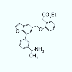 CCOC(=O)Cc1ccccc1OCc1cc(-c2cccc([C@@H](C)N)c2)c2occc2c1